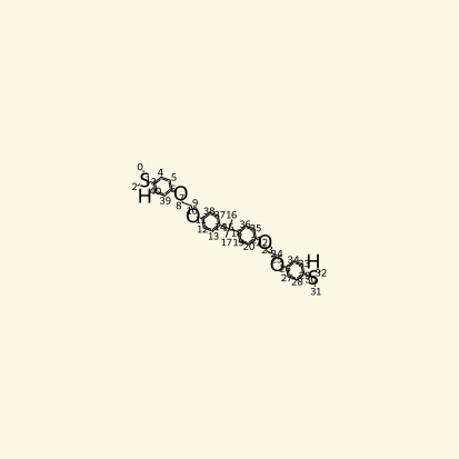 C[SH](C)c1ccc(OCCOc2ccc(C(C)(C)c3ccc(OCCOc4ccc([SH](C)C)cc4)cc3)cc2)cc1